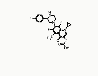 Nc1c(F)c(N2CCNC(c3ccc(F)cc3)C2)c(F)c2c1c(=O)c(OC(=O)O)cn2C1CC1